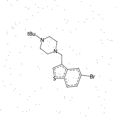 CC(C)(C)N1CCN(Cc2csc3ccc(Br)cc23)CC1